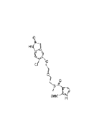 CN(CCOCCOc1cc2c(cc1Cl)NC(=O)C2)C(=O)c1cc[nH]c1C=O